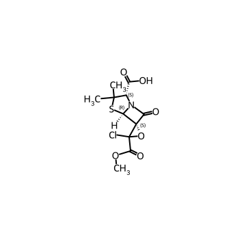 COC(=O)C1(Cl)O[C@]12C(=O)N1[C@@H](C(=O)O)C(C)(C)S[C@@H]12